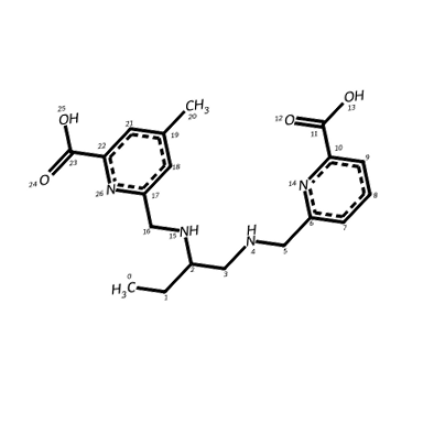 CCC(CNCc1cccc(C(=O)O)n1)NCc1cc(C)cc(C(=O)O)n1